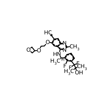 C#Cc1cc2nc(C)nc(N[C@H](C)c3cccc(C(F)(F)C(C)(C)O)c3F)c2cc1OCCOC1COC1